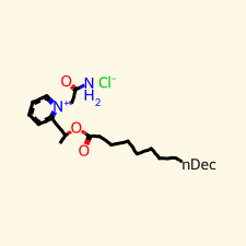 CCCCCCCCCCCCCCCCCC(=O)OC(C)c1cccc[n+]1CC(N)=O.[Cl-]